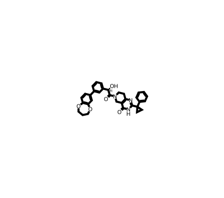 O=C([C@H](O)c1cccc(-c2ccc3c(c2)OCCCO3)c1)N1CCc2nc(C3(c4ccccc4)CC3)[nH]c(=O)c2C1